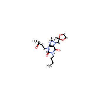 CCCCn1c(=O)c2c(ncn2CC2(C)OCCO2)n(CCC(C)=O)c1=O